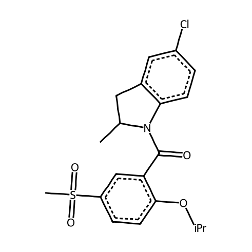 CC(C)Oc1ccc(S(C)(=O)=O)cc1C(=O)N1c2ccc(Cl)cc2CC1C